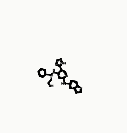 OCC[C@@H](Nc1cc(Nc2ccc3ncsc3c2)ncc1-c1ncn[nH]1)c1ccccc1